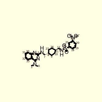 CN(C)c1nc(NC[C@H]2CC[C@H](CNS(=O)(=O)c3cccc([N+](=O)[O-])c3)CC2)nc2ccccc12